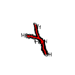 COc1cc(S(=O)(=O)CCN(CCOC(=O)CCCCCOC(=O)CCCCCOC(=O)CCCCCOC(=O)CCCCCO)CCOC(=O)CCCCCOC(=O)CCCCCOC(=O)CCCCCOC(=O)CCCCCO)c(OC)cc1/N=N/c1c(Nc2ccccc2)nc(NCCOCCOC(=O)CCCCCOC(=O)CCCCCOC(=O)CCCCCOC(=O)CCCCCO)c(C#N)c1C